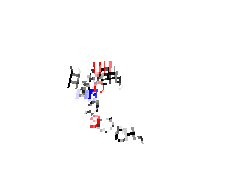 CCC1CCC(Oc2ccc(NOC(C)(C)C(C)(C)O)cc2)CC1